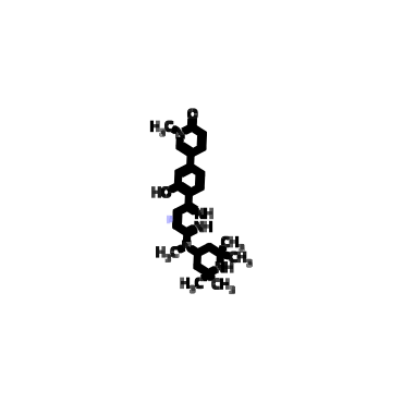 CN(C(=N)/C=C\C(=N)c1ccc(-c2ccc(=O)n(C)c2)cc1O)C1CC(C)(C)NC(C)(C)C1